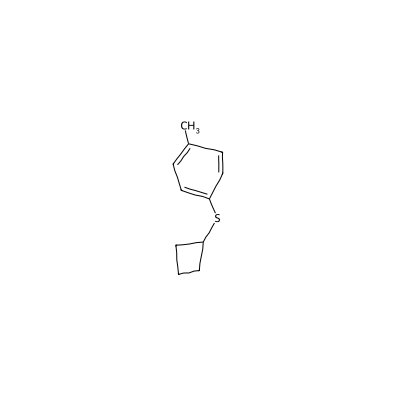 Cc1ccc(SC2CCC2)cc1